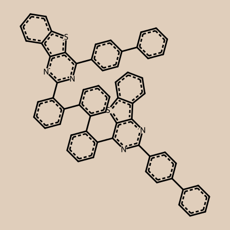 c1ccc(-c2ccc(-c3nc(-c4ccccc4-c4ccccc4-c4ccccc4-c4nc(-c5ccc(-c6ccccc6)cc5)c5sc6ccccc6c5n4)c4sc5ccccc5c4n3)cc2)cc1